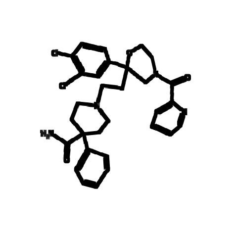 NC(=O)C1(c2ccccc2)CCN(CCC2(c3ccc(Cl)c(Cl)c3)CN(C(=O)c3ccccn3)CCO2)CC1